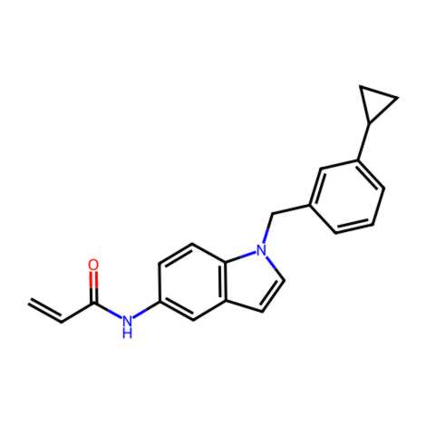 C=CC(=O)Nc1ccc2c(ccn2Cc2cccc(C3CC3)c2)c1